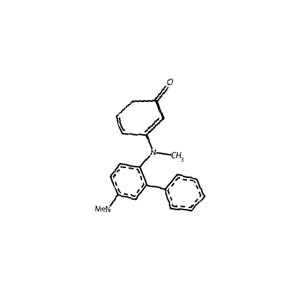 CNc1ccc(N(C)C2=CC(=O)CC=C2)c(-c2ccccc2)c1